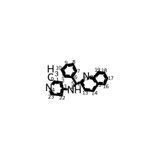 Cc1cc(NC(c2ccccc2)c2ccc3ccccc3n2)ccn1